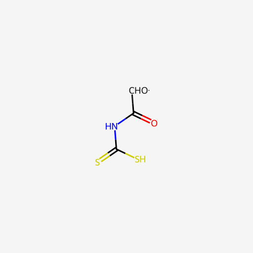 O=[C]C(=O)NC(=S)S